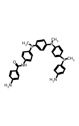 CN(c1ccc(N)cc1)c1ccc(N(C)c2ccc(N(C)c3ccc(NC(=O)c4ccc(N)cc4)cc3)cc2)cc1